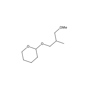 COCC(C)COC1CCCCO1